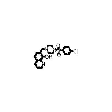 O=S(=O)(c1ccc(Cl)cc1)N1CCN(Cc2ccc3cccnc3c2O)CC1